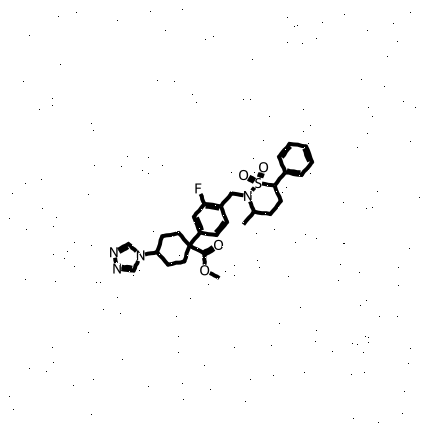 COC(=O)C1(c2ccc(CN3C(C)CCC(c4ccccc4)S3(=O)=O)c(F)c2)CCC(n2cnnc2)CC1